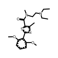 CCN(CC)CCN(C)C(=O)c1sc(-c2c(OC)cccc2OC)nc1C